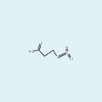 O=C(O)CCN=S(=O)=O